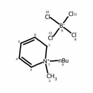 CCCC[N+]1(C)C=CC=CC1.Cl[B-](Cl)(Cl)Cl